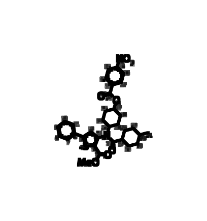 COC(=O)c1sc(-c2ccccc2)cc1N(C(=O)C1CCC(C)CC1)C1CCC(OC(=O)c2ccc([N+](=O)[O-])cc2)CC1